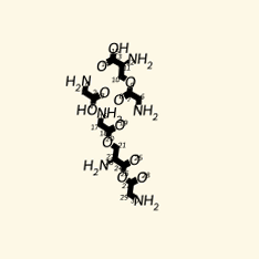 NCC(=O)O.NCC(=O)OC[C@H](N)C(=O)O.NCC(=O)OC[C@H](N)C(=O)OC(=O)CN